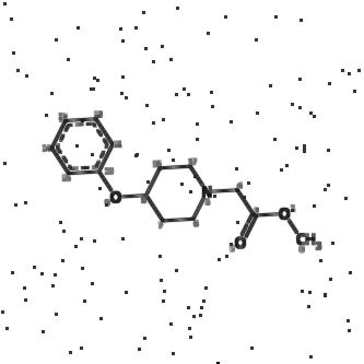 COC(=O)CN1CCC(Oc2cc[c]cc2)CC1